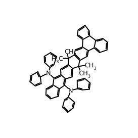 CC1(C)c2cc3c(N(c4ccccc4)c4ccccc4)c4ccccc4c(N(c4ccccc4)c4ccccc4)c3cc2C(C)(C)c2cc3c4ccccc4c4ccccc4c3cc21